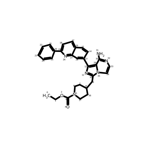 CCOC(=O)N1CCC(Cc2nc(-c3ccc4ccc(-c5ccccc5)nc4c3)c3c(N)nccn23)CC1